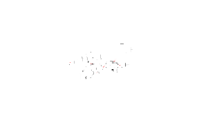 O=C(c1ccc(F)cc1Cl)N1C[C@H]2CC[C@@H](C1)N2c1cc(S(=O)(=O)NC2CC(F)(F)C2)cc2cnc(C3CC3)n12